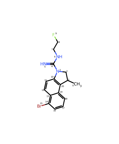 CC1CN(C(=N)NCCF)c2ccc3c(Br)cccc3c21